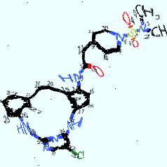 CN(C)S(=O)(=O)N1CCC(CC(=O)Nc2ccc3cc2CCc2cccc(c2)Nc2ncc(Cl)c(n2)N3)CC1